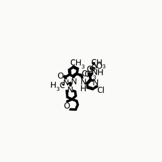 Cc1cc([C@@H](C)Nc2ccc(Cl)nc2C(=O)NS(C)(=O)=O)c2nc(N3CCC4(CCCCOC4)CC3)n(C)c(=O)c2c1